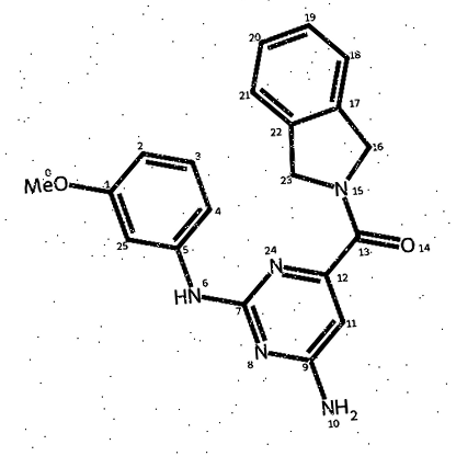 COc1cccc(Nc2nc(N)cc(C(=O)N3Cc4ccccc4C3)n2)c1